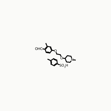 Cc1cc(OCCOC2CCN(C)CC2)ccc1C=O.Cc1ccc(S(=O)(=O)O)cc1